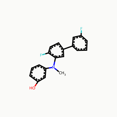 CN(c1cccc(O)c1)c1cc(-c2cccc(F)c2)ccc1F